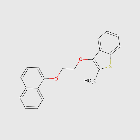 O=C(O)c1sc2ccccc2c1OCCOc1cccc2ccccc12